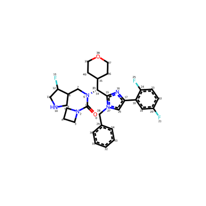 O=C(N1C[CH]C1)N(CC1CNCC1F)[C@@H](c1nc(-c2cc(F)ccc2F)cn1Cc1ccccc1)C1CCOCC1